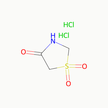 Cl.Cl.O=C1CS(=O)(=O)CN1